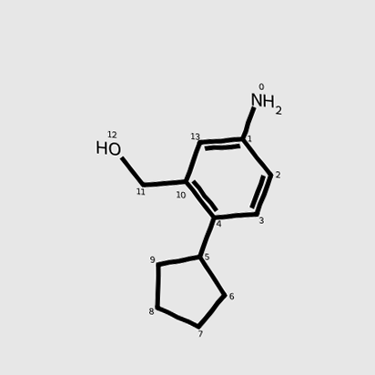 Nc1ccc(C2CCCC2)c(CO)c1